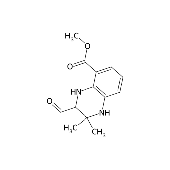 COC(=O)c1cccc2c1NC(C=O)C(C)(C)N2